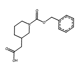 O=C(O)CC1CCCN(C(=O)OCc2ccccc2)C1